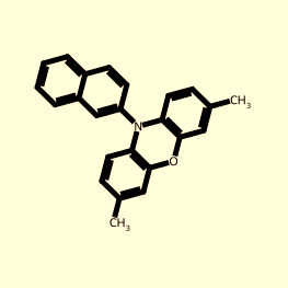 Cc1ccc2c(c1)Oc1cc(C)ccc1N2c1ccc2ccccc2c1